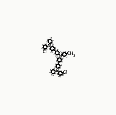 Cc1ccc(N(c2ccc(-c3ccc(N(c4ccccc4)c4cccc(Cl)c4)cc3)cc2)c2ccc(-c3ccc(N(c4ccccc4)c4cccc(Cl)c4)cc3)cc2)cc1